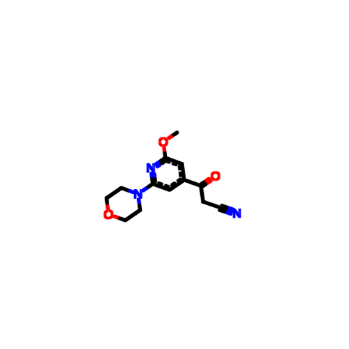 COc1cc(C(=O)CC#N)cc(N2CCOCC2)n1